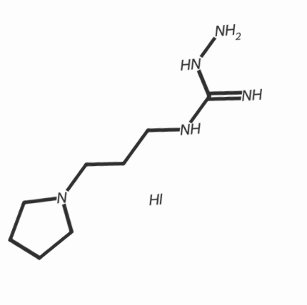 I.N=C(NN)NCCCN1CCCC1